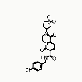 O=C(NCc1ccc(Cl)cc1)c1ccc2n(c1=O)CCN(C1CCS(=O)(=O)C1)C2=O